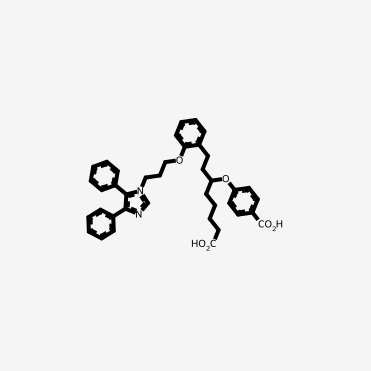 O=C(O)CCCCC(CCc1ccccc1OCCCn1cnc(-c2ccccc2)c1-c1ccccc1)Oc1ccc(C(=O)O)cc1